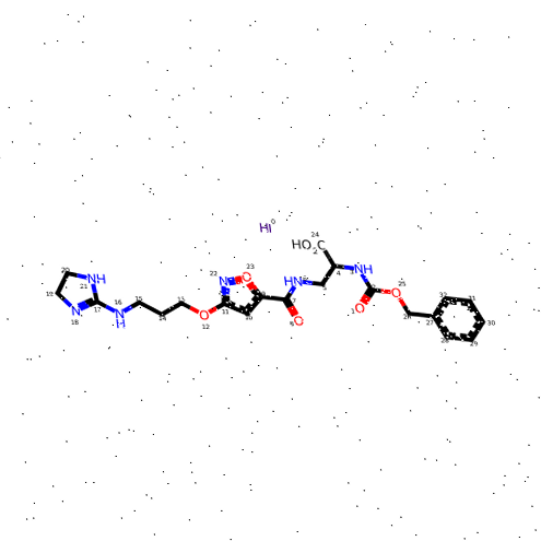 I.O=C(NC(CNC(=O)c1cc(OCCCNC2=NCCN2)no1)C(=O)O)OCc1ccccc1